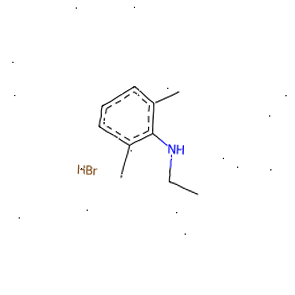 Br.CCNc1c(C)cccc1C